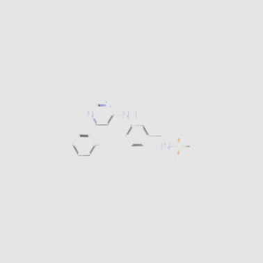 C[S+]([O-])c1ccccc1-c1cc(Nc2cccc(CNS(C)(=O)=O)c2)ncn1